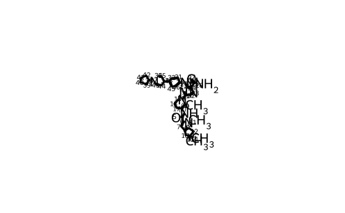 C[C@@H]1[C@H](NC(=O)c2cc3c(n2C)CC(C)(C)C3)CCCN1c1cnc(C(N)=O)c(Nc2ccc(C3CCN(C4CCCC4)CC3)cc2)n1